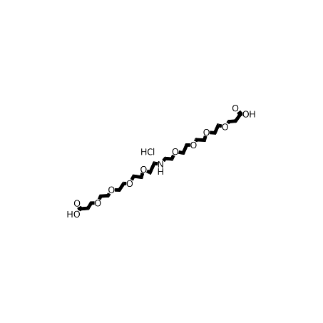 Cl.O=C(O)CCOCCOCCOCCOCCNCCOCCOCCOCCOCCC(=O)O